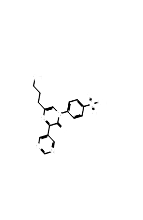 CS(=O)(=O)c1ccc(-n2cc(CCCO)nc(-c3cncnc3)c2=O)cc1